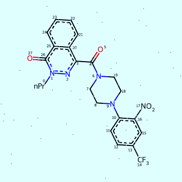 CCCn1nc(C(=O)N2CCN(c3ccc(C(F)(F)F)cc3[N+](=O)[O-])CC2)c2ccccc2c1=O